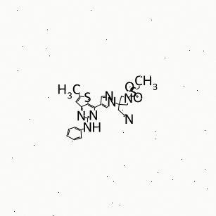 CCS(=O)(=O)N1CC(CC#N)(n2cc(-c3nc(Nc4ccccc4)nc4cc(C)sc34)cn2)C1